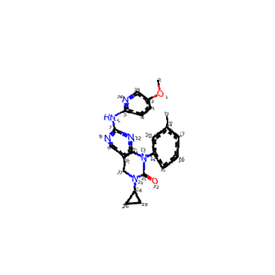 COc1ccc(Nc2ncc3c(n2)N(c2cccc(C)c2)C(=O)N(C2CC2)C3)nc1